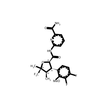 COc1c([C@@H]2[C@@H](C)[C@@](C)(C(F)(F)F)O[C@H]2C(=O)Nc2cccc(C(N)=O)n2)ccc(F)c1F